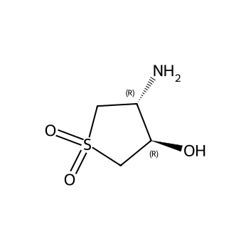 N[C@H]1CS(=O)(=O)C[C@@H]1O